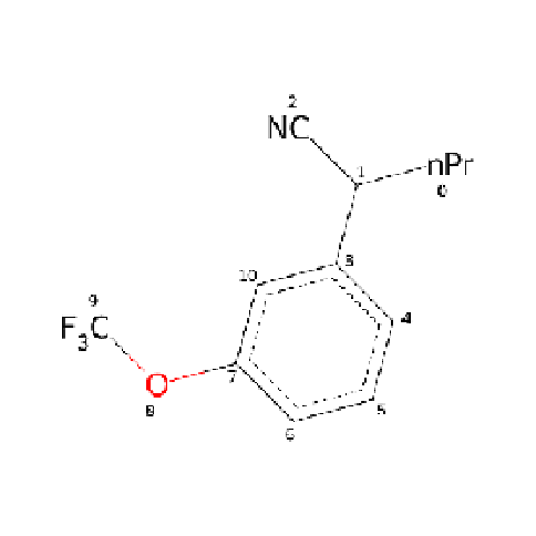 CCCC(C#N)c1cccc(OC(F)(F)F)c1